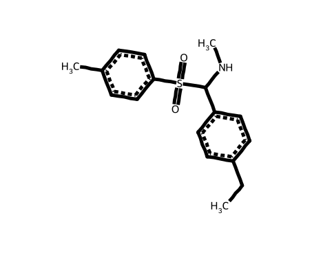 CCc1ccc(C(NC)S(=O)(=O)c2ccc(C)cc2)cc1